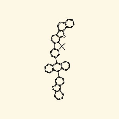 CC1(C)c2cc(-c3c4ccccc4c(-c4ccc5c(c4)sc4ccccc45)c4ccccc34)ccc2-c2ccc3c(sc4c5ccccc5ccc34)c21